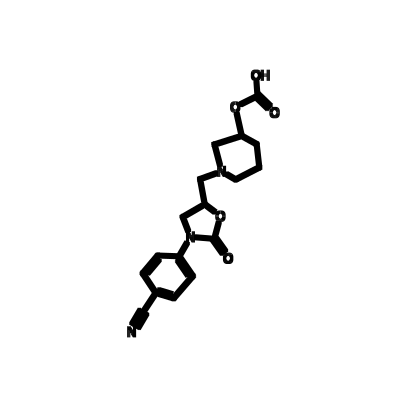 N#Cc1ccc(N2CC(CN3CCCC(OC(=O)O)C3)OC2=O)cc1